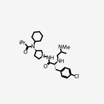 CNC(C)CN[C@H](Cc1ccc(Cl)cc1)C(=O)NN1CC[C@H](N(C(=O)C(C)C)C2CCCCC2)C1